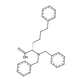 O=C(O)[C@H](CCCCc1ccccc1)N(Cc1ccccc1)Cc1ccccc1